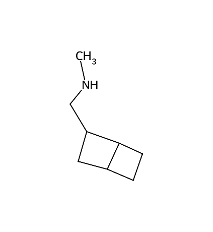 CNCC1CC2CCC21